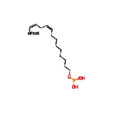 CCCCC/C=C\C/C=C\CCCCCCCCOP(O)O